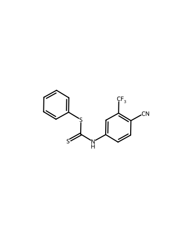 N#Cc1ccc(NC(=S)Sc2ccccc2)cc1C(F)(F)F